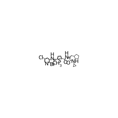 C[C@H](Nc1cc(Cl)cnc1Br)c1ccc(C(=O)N[C@@H](CC2CCCC2)C(=O)NC2CC2)s1